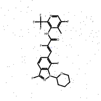 Cc1c(F)cnc(C(F)(F)F)c1NC(=O)/C(F)=C/c1ccc2c(F)nn(C3CCCCO3)c2c1F